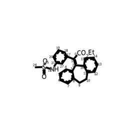 CCOC(=O)C(=C1c2ccccc2CCc2ccccc21)c1cccc(NS(C)(=O)=O)c1